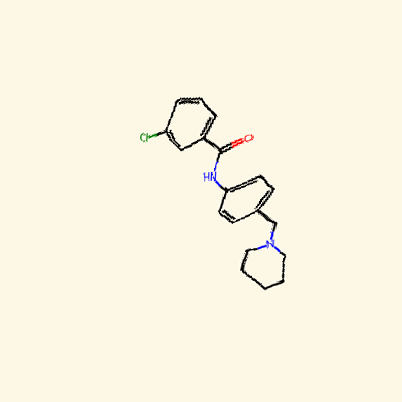 O=C(Nc1ccc(CN2CCCCC2)cc1)c1cccc(Cl)c1